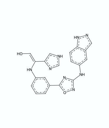 O/C=C(\Nc1cccc(-c2nc(Nc3ccc4[nH]ncc4c3)no2)c1)c1c[nH]cn1